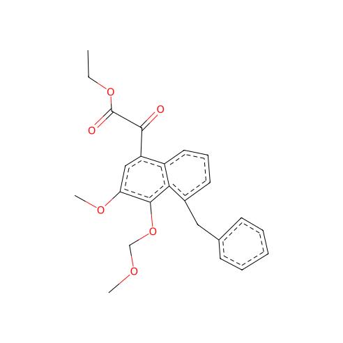 CCOC(=O)C(=O)c1cc(OC)c(OCOC)c2c(Cc3ccccc3)cccc12